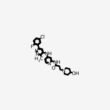 Cc1nnc(-c2cc(Cl)ccc2F)cc1Nc1ccnc(NC(=O)CCN2CCC(O)CC2)c1